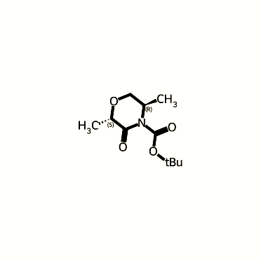 C[C@@H]1OC[C@@H](C)N(C(=O)OC(C)(C)C)C1=O